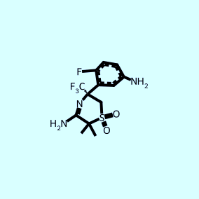 CC1(C)C(N)=N[C@](c2cc(N)ccc2F)(C(F)(F)F)CS1(=O)=O